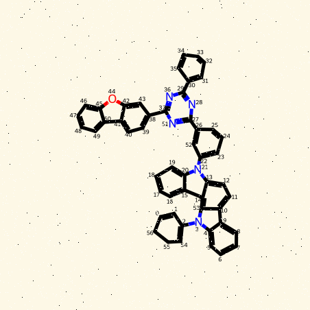 C1=CC(n2c3ccccc3c3ccc4c(c5ccccc5n4-c4cccc(-c5nc(-c6ccccc6)nc(-c6ccc7c(c6)oc6ccccc67)n5)c4)c32)=CCC1